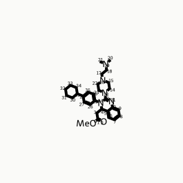 COC(=O)CC1c2ccccc2N=C(N2CCN(CCN(C)C)CC2)N1c1ccc(C2CCCCC2)cc1